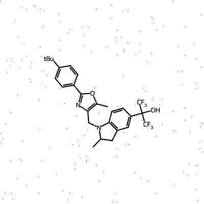 Cc1oc(-c2ccc(C(C)(C)C)cc2)nc1CN1c2ccc(C(O)(C(F)(F)F)C(F)(F)F)cc2CC1C